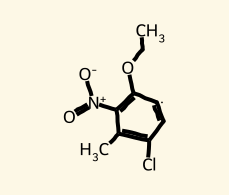 CCOc1[c]cc(Cl)c(C)c1[N+](=O)[O-]